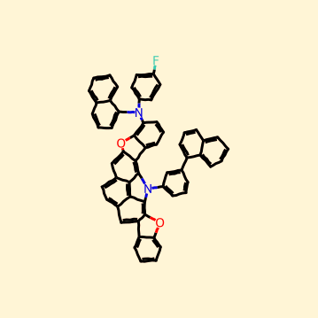 Fc1ccc(N(c2cccc3ccccc23)c2cccc3c2oc2cc4ccc5cc6c7ccccc7oc6c6c5c4c(c23)n6-c2cccc(-c3cccc4ccccc34)c2)cc1